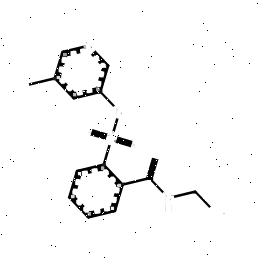 Cc1cncc(NS(=O)(=O)c2ccccc2C(=O)NCC(C)(C)C)c1